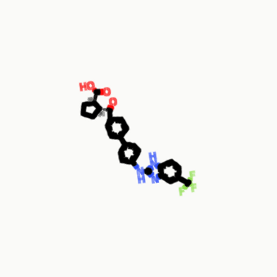 O=C(O)[C@@H]1CCC[C@H]1C(=O)c1ccc(-c2ccc(Nc3nc4cc(C(F)(F)F)ccc4[nH]3)cc2)cc1